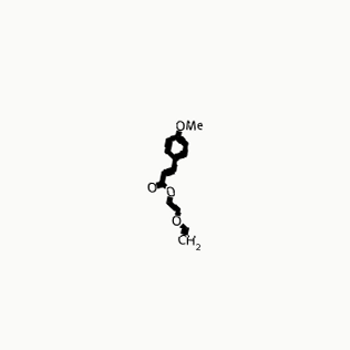 C=COCCOC(=O)C=Cc1ccc(OC)cc1